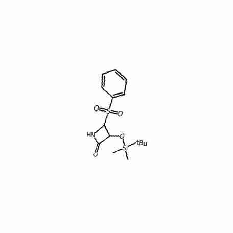 CC(C)(C)[Si](C)(C)OC1C(=O)NC1S(=O)(=O)c1ccccc1